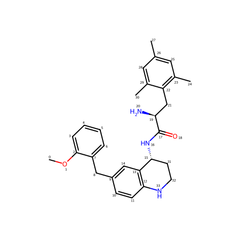 COc1ccccc1Cc1ccc2c(c1)[C@H](NC(=O)[C@@H](N)Cc1c(C)cc(C)cc1C)CCN2